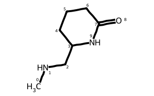 CNCC1CCCC(=O)N1